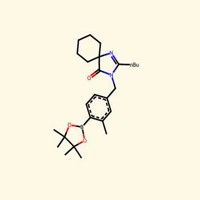 CCCCC1=NC2(CCCCC2)C(=O)N1Cc1ccc(B2OC(C)(C)C(C)(C)O2)c(C)c1